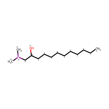 CCCCCCCCCCC(O)CP(C)C